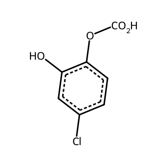 O=C(O)Oc1ccc(Cl)cc1O